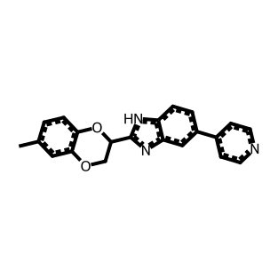 Cc1ccc2c(c1)OCC(c1nc3cc(-c4ccncc4)ccc3[nH]1)O2